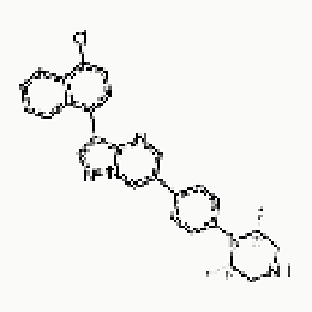 C[C@@H]1CNC[C@H](C)N1c1ccc(-c2cnc3c(-c4ccc(Cl)c5ccccc45)cnn3c2)cc1